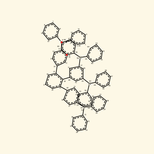 c1ccc(N(c2ccccc2)c2ccc(-c3cccc(-c4ccc(N(c5ccccc5)c5ccccc5)cc4)c3-c3cc(N(c4ccccc4)c4ccccc4)cc(N(c4ccccc4)c4ccccc4)c3)cc2)cc1